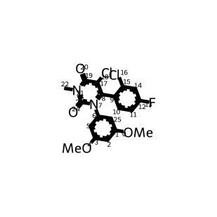 COc1cc(OC)cc(-n2c(-c3ccc(F)cc3Cl)c(Cl)c(=O)n(C)c2=O)c1